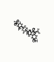 CC1CN(c2ccc(S(C)(=O)=O)cc2F)CCN1c1nccc(C(=O)N(C2CCC(O)CC2)C2CC2)n1